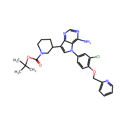 CC(C)(C)OC(=O)N1CCCC(c2cn(-c3ccc(OCc4ccccn4)c(Cl)c3)c3c(N)ncnc23)C1